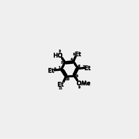 CCc1c(O)c(CC)c(CC)c(OC)c1CC